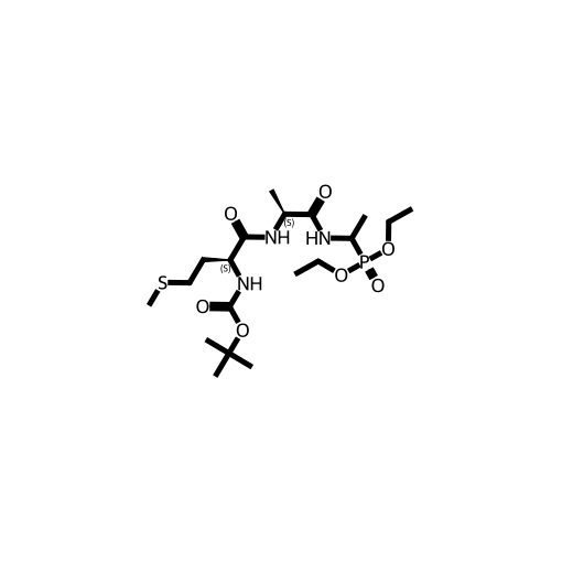 CCOP(=O)(OCC)C(C)NC(=O)[C@H](C)NC(=O)[C@H](CCSC)NC(=O)OC(C)(C)C